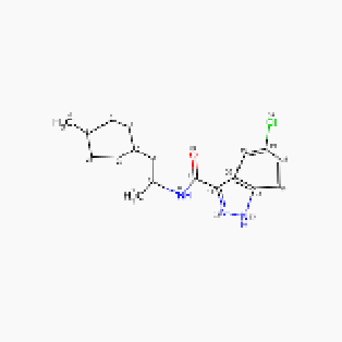 CC1CCC(CC(C)NC(=O)c2n[nH]c3ccc(Cl)cc23)CC1